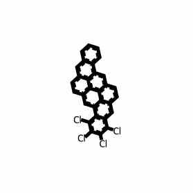 Clc1c(Cl)c(Cl)c2c(cc3ccc4cc5c6ccccc6cc6ccc7cc2c3c4c7c65)c1Cl